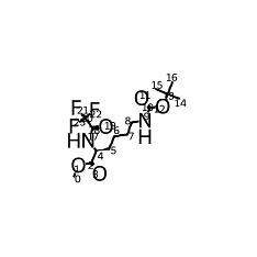 COC(=O)[C@H](CCCCNC(=O)OC(C)(C)C)NC(=O)C(F)(F)F